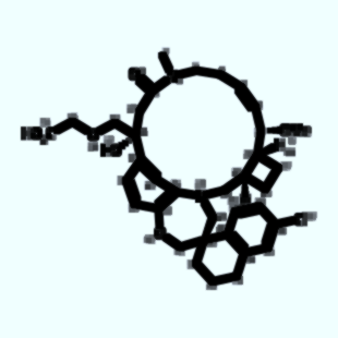 CO[C@H]1C=CCCN(C)C(=O)C[C@](O)(COCC(=O)O)c2ccc3c(c2)N(C[C@@H]2CC[C@H]21)C[C@@]1(CCCc2cc(Cl)ccc21)CO3